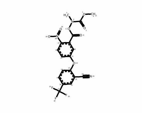 COC(=O)N(C)OC(=O)c1cc(Oc2ccc(C(F)(F)F)cc2C#N)ccc1[N+](=O)[O-]